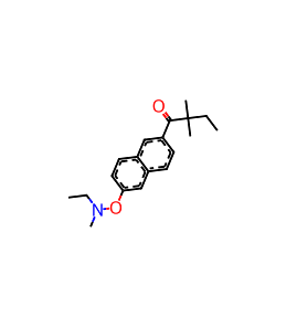 CCN(C)Oc1ccc2cc(C(=O)C(C)(C)CC)ccc2c1